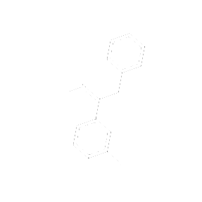 ON=C(Cc1ccccc1)c1cccc(Cl)c1